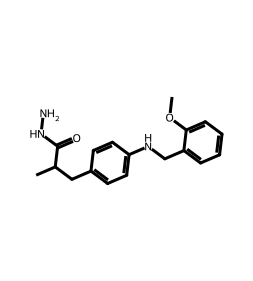 COc1ccccc1CNc1ccc(CC(C)C(=O)NN)cc1